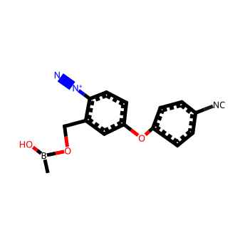 [C-]#[N+]c1ccc(Oc2ccc([N+]#N)c(COB(C)O)c2)cc1